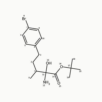 CC(CCc1ccc(Br)cc1)C(N)(O)C(=O)OC(C)(C)C